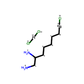 NCC(N)CCCC[CH2][Hg][Cl].[Cl][Pt][Cl]